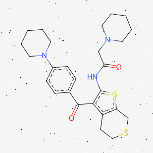 O=C(CN1CCCCC1)Nc1sc2c(c1C(=O)c1ccc(N3CCCCC3)cc1)CCSC2